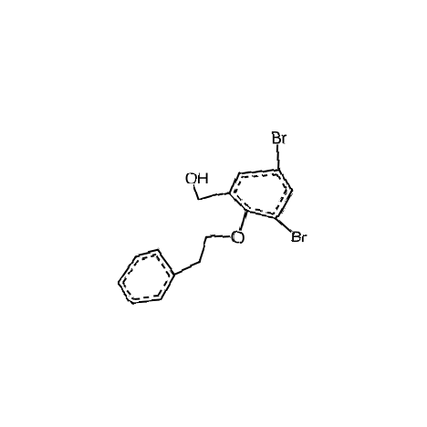 OCc1cc(Br)cc(Br)c1OCCc1ccccc1